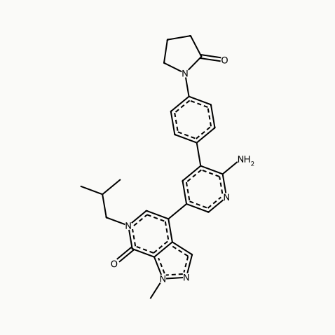 CC(C)Cn1cc(-c2cnc(N)c(-c3ccc(N4CCCC4=O)cc3)c2)c2cnn(C)c2c1=O